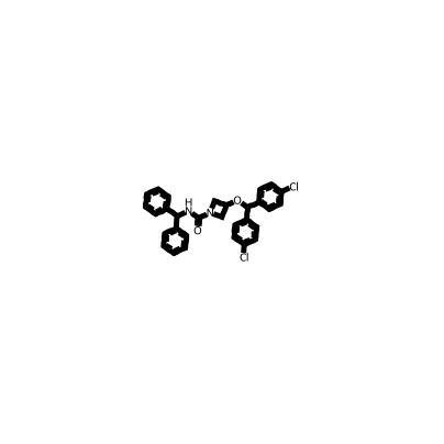 O=C(NC(c1ccccc1)c1ccccc1)N1CC(OC(c2ccc(Cl)cc2)c2ccc(Cl)cc2)C1